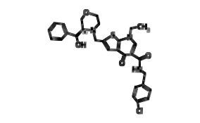 CCn1cc(C(=O)NCc2ccc(Cl)cc2)c(=O)c2cc(CN3CCOC[C@@H]3C(O)c3ccccc3)sc21